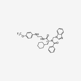 O=C(NCCNc1ccc(OC(F)(F)F)cc1)[C@H](CC1CCCCC1)N(Cn1cnc2ccccc21)C(=O)c1ccccc1